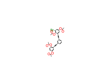 CC(=O)Oc1ccc(OC(C)=O)c(C#Cc2cccc(C#Cc3cc(OC(C)=O)cc(Br)c3OC(C)=O)c2)c1